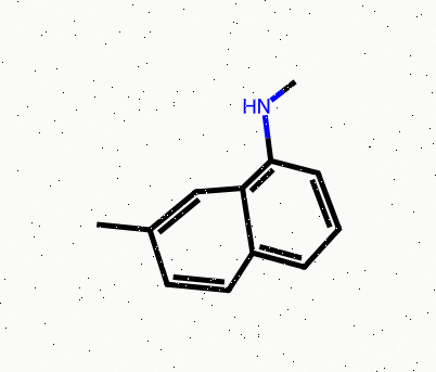 CNc1cccc2ccc(C)cc12